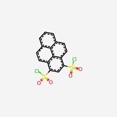 O=S(=O)(Cl)c1cc(S(=O)(=O)Cl)c2ccc3cccc4ccc1c2c43